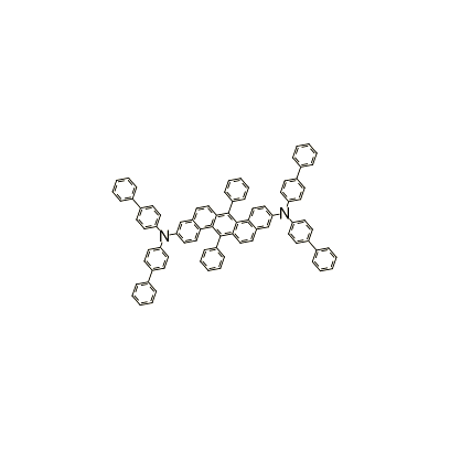 c1ccc(-c2ccc(N(c3ccc(-c4ccccc4)cc3)c3ccc4c(ccc5c(-c6ccccc6)c6c(ccc7cc(N(c8ccc(-c9ccccc9)cc8)c8ccc(-c9ccccc9)cc8)ccc76)c(-c6ccccc6)c54)c3)cc2)cc1